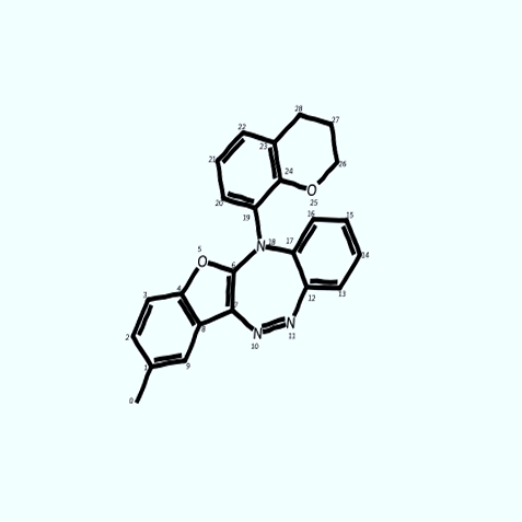 Cc1ccc2oc3c(c2c1)N=Nc1ccccc1N3c1cccc2c1OCCC2